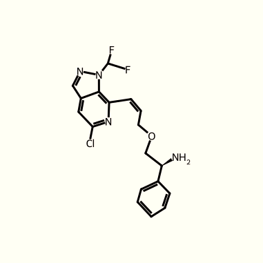 N[C@H](COC/C=C\c1nc(Cl)cc2cnn(C(F)F)c12)c1ccccc1